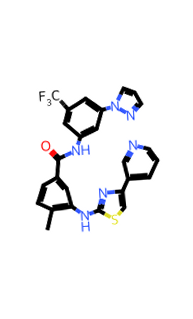 Cc1ccc(C(=O)Nc2cc(-n3cccn3)cc(C(F)(F)F)c2)cc1Nc1nc(-c2cccnc2)cs1